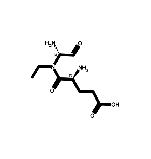 CCN(C(=O)[C@@H](N)CCC(=O)O)[C@H](N)C=O